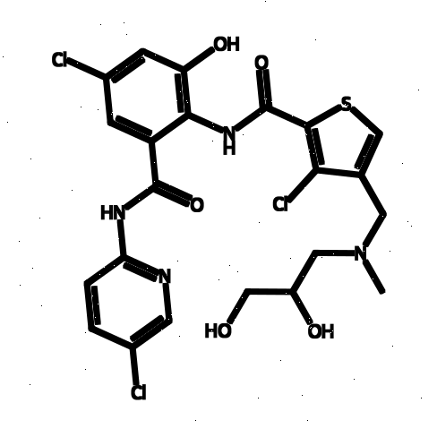 CN(Cc1csc(C(=O)Nc2c(O)cc(Cl)cc2C(=O)Nc2ccc(Cl)cn2)c1Cl)CC(O)CO